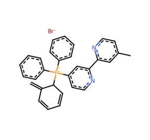 C=C1C=CC=CC1[P+](c1ccccc1)(c1ccccc1)c1ccnc(-c2cc(C)ccn2)c1.[Br-]